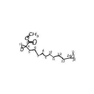 COC(=O)C1(CCCCCCCCCC2CC2)CO1